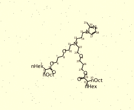 CCCCCCCCC(CCCCCC)C(=O)OCCCOCCN(CCCn1ccnc1C)CCOCCCOC(=O)C(CCCCCC)CCCCCCCC